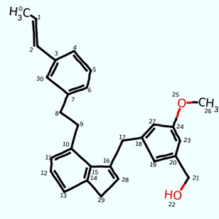 C/C=C/c1cccc(CCc2cccc3c2C(Cc2cc(CO)cc(OC)c2)=CC3)c1